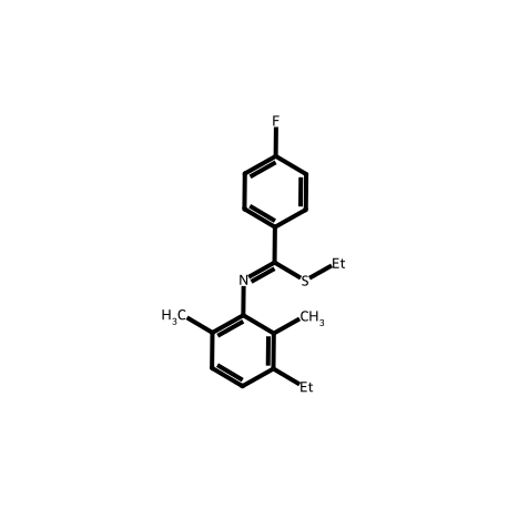 CCSC(=Nc1c(C)ccc(CC)c1C)c1ccc(F)cc1